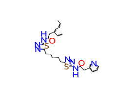 C=C/C(=C\C=C/C)CC(=O)Nc1nnc(CCCCCc2nnc(NC(=O)Cc3cccnc3)s2)s1